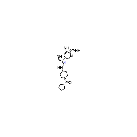 N=C/C(=C\NC1CCN(C(=O)C2CCCC2)CC1)c1cnc(C=N)c(N)c1